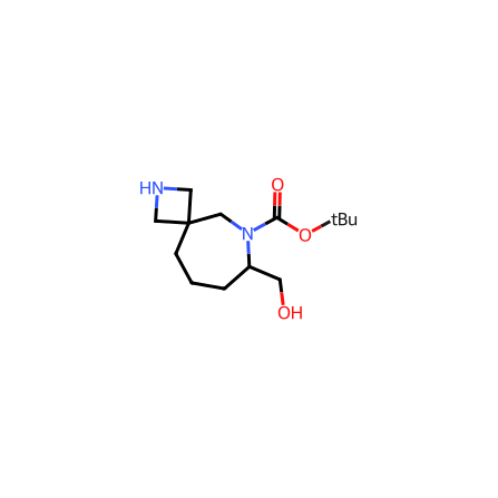 CC(C)(C)OC(=O)N1CC2(CCCC1CO)CNC2